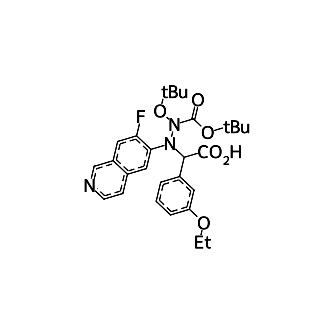 CCOc1cccc(C(C(=O)O)N(c2cc3ccncc3cc2F)N(OC(C)(C)C)C(=O)OC(C)(C)C)c1